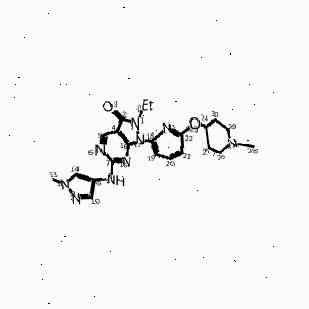 CCn1c(=O)c2cnc(Nc3cnn(C)c3)nc2n1-c1cccc(OC2CCN(C)CC2)n1